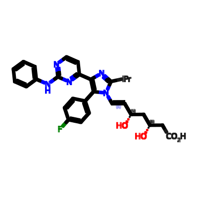 CC(C)c1nc(-c2ccnc(Nc3ccccc3)n2)c(-c2ccc(F)cc2)n1/C=C/[C@@H](O)C[C@@H](O)CC(=O)O